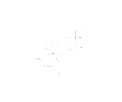 Cc1nc2c(ncn2[C@@H]2O[C@](F)(CO)[C@@H](O)[C@@]2(C)O)c(=O)[nH]1